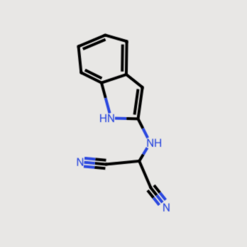 N#CC(C#N)Nc1cc2ccccc2[nH]1